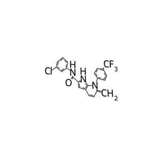 C=C1C=Cc2cc(C(=O)Nc3cccc(Cl)c3)[nH]c2N1c1ccc(C(F)(F)F)cc1